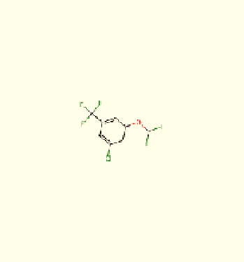 FC(F)OC1[CH]C(Cl)=CC(C(F)(F)F)=C1